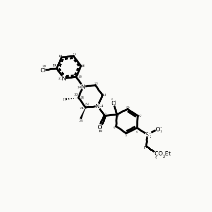 CCOC(=O)C[S+]([O-])C1=CCC(Cl)(C(=O)N2CCN(c3cccc(Cl)n3)[C@@H](C)[C@@H]2C)C=C1